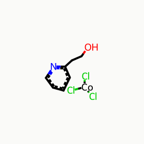 OCCc1ccccn1.[Cl][Co]([Cl])[Cl]